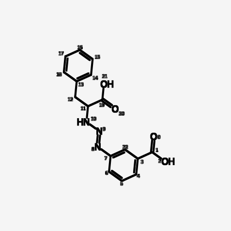 O=C(O)c1cccc(N=NNC(Cc2ccccc2)C(=O)O)c1